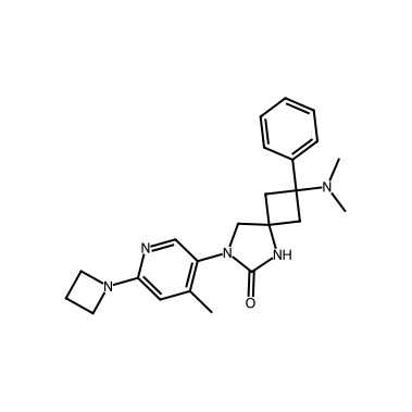 Cc1cc(N2CCC2)ncc1N1CC2(CC(c3ccccc3)(N(C)C)C2)NC1=O